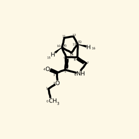 CCOC(=O)c1[nH]cc2c1[C@@H]1CC[C@H]2C1